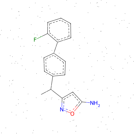 CC(c1ccc(-c2ccccc2F)cc1)c1cc(N)on1